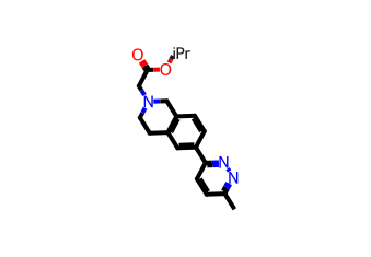 Cc1ccc(-c2ccc3c(c2)CCN(CC(=O)OC(C)C)C3)nn1